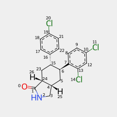 O=C1NC[C@H]2C[C@H](c3ccc(Cl)cc3Cl)[C@@H](c3ccc(Cl)cc3)C[C@@H]12